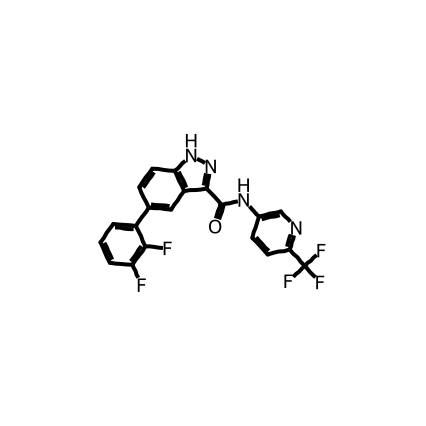 O=C(Nc1ccc(C(F)(F)F)nc1)c1n[nH]c2ccc(-c3cccc(F)c3F)cc12